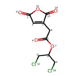 O=C1C=C(CC(=O)OC(CCl)CCl)C(=O)O1